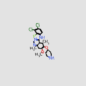 COC1=C(OC2CCNCC2)C(C)C2C(Nc3ccc(Cl)c(Cl)c3F)=NC=NC2(C)C1